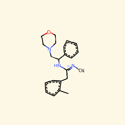 Cc1ccccc1C/C(=N\C#N)NC(CN1CCOCC1)c1ccccc1